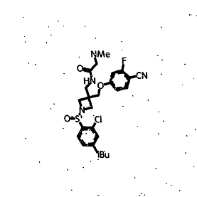 CCC(C)c1ccc([S+]([O-])N2CC(CNC(=O)CNC)(COc3ccc(C#N)c(F)c3)C2)c(Cl)c1